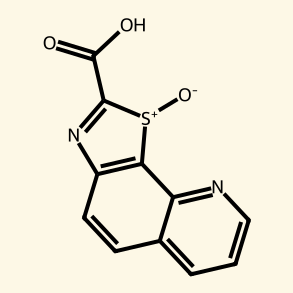 O=C(O)c1nc2ccc3cccnc3c2[s+]1[O-]